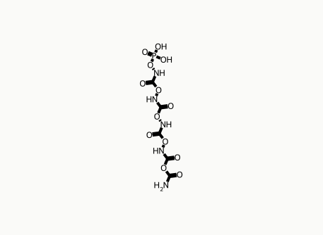 NC(=O)OC(=O)NOC(=O)NOC(=O)NOC(=O)NOP(=O)(O)O